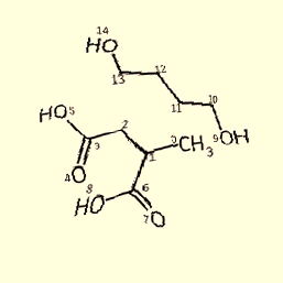 CC(CC(=O)O)C(=O)O.OCCCCO